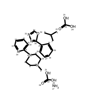 CC(C)C.CN1CCN(c2ccccn2)CC1.N.O=C(O)O.O=C(O)O.c1ccc(-c2nnco2)cc1